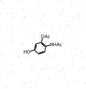 CC(=O)Nc1ccc(O)cc1OC(C)=O